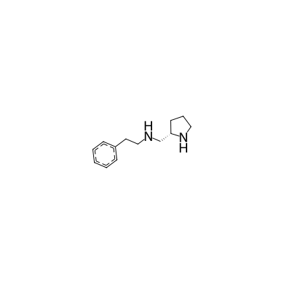 c1ccc(CCNC[C@@H]2CCCN2)cc1